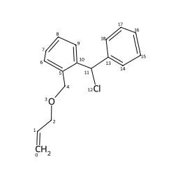 C=CCOCc1ccccc1C(Cl)c1ccccc1